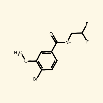 COc1cc(C(=O)NCC(F)F)ccc1Br